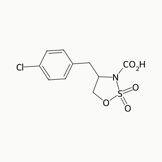 O=C(O)N1C(Cc2ccc(Cl)cc2)COS1(=O)=O